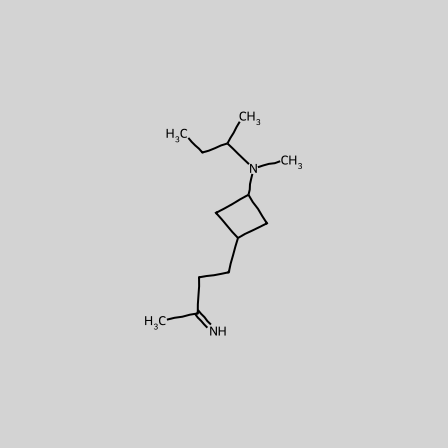 CCC(C)N(C)C1CC(CCC(C)=N)C1